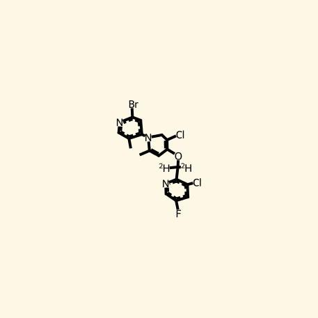 [2H]C([2H])(OC1=C(Cl)CN(c2cc(Br)ncc2C)C(C)=C1)c1ncc(F)cc1Cl